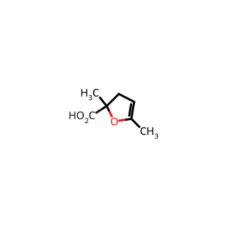 CC1=CCC(C)(C(=O)O)O1